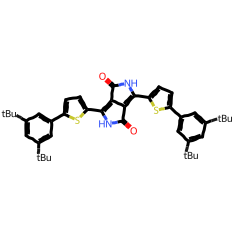 CC(C)(C)c1cc(-c2ccc(C3=C4C(=O)NC(c5ccc(-c6cc(C(C)(C)C)cc(C(C)(C)C)c6)s5)=C4C(=O)N3)s2)cc(C(C)(C)C)c1